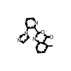 Cc1cccc2nc(-c3ncccc3-n3ccnc3)oc(=O)c12